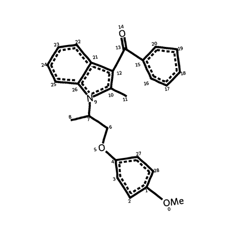 COc1ccc(OCC(C)n2c(C)c(C(=O)c3ccccc3)c3ccccc32)cc1